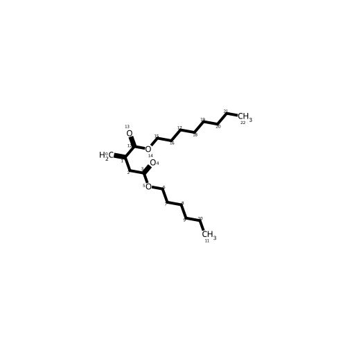 C=C(CC(=O)OCCCCCC)C(=O)OCCCCCCCC